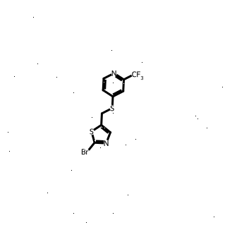 FC(F)(F)c1cc(SCc2cnc(Br)s2)ccn1